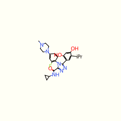 CC(C)c1cc(-c2nnc(C(=O)NC3CC3)n2-c2ccc(N3CCN(C)CC3)cc2F)c(O)cc1O